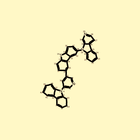 C1=Cc2c(n(-c3cncc(-c4ccc5sc6ccc(-n7c8ccccc8c8ccncc87)cc6c5c4)c3)c3ccccc23)CC1